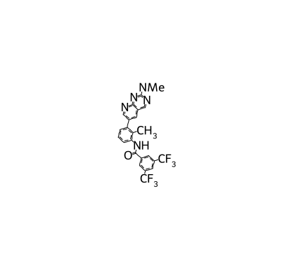 CNc1ncc2cc(-c3cccc(NC(=O)c4cc(C(F)(F)F)cc(C(F)(F)F)c4)c3C)cnc2n1